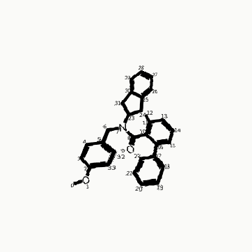 COc1ccc(CN(C(=O)c2c(C)cccc2-c2ccccc2)C2Cc3ccccc3C2)cc1